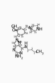 CCCCNc1nc(N)nc2cn(Cc3ccc(CN4CC5CC4CN5)cc3OC)nc12